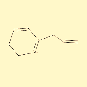 C=CCC1=[C]CCC=C1